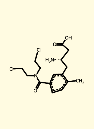 Cc1ccc(C(=O)N(CCCl)CCCl)cc1C[C@H](N)CC(=O)O